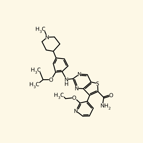 CCOc1ncccc1-c1c(C(N)=O)sc2cnc(Nc3ccc(C4CCN(C)CC4)cc3OC(C)C)nc12